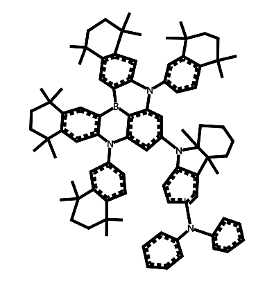 CC1(C)CCC(C)(C)c2cc(N3c4cc5c(cc4B4c6cc7c(cc6N(c6ccc8c(c6)C(C)(C)CCC8(C)C)c6cc(N8c9ccc(N(c%10ccccc%10)c%10ccccc%10)cc9C9(C)CCCCC89C)cc3c64)C(C)(C)CCC7(C)C)C(C)(C)CCC5(C)C)ccc21